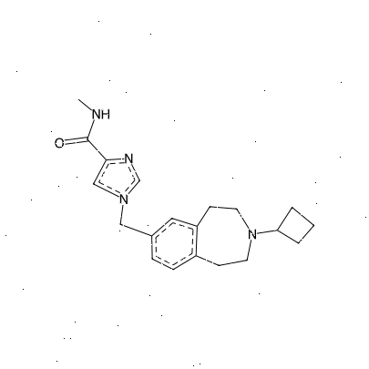 CNC(=O)c1cn(Cc2ccc3c(c2)CCN(C2CCC2)CC3)cn1